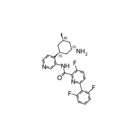 C[C@H]1C[C@H](N)C[C@@H](c2ccncc2NC(=O)c2nc(-c3c(F)cccc3F)ccc2F)C1